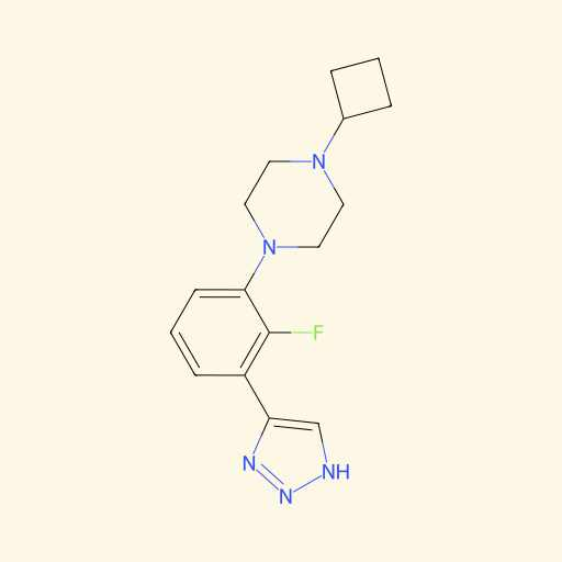 Fc1c(-c2c[nH]nn2)cccc1N1CCN(C2CCC2)CC1